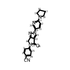 N#Cc1ccc(N2Cc3nn(-c4ccc(N5CCCC5)nc4)cc3C2=O)cc1